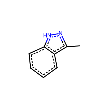 Cc1n[nH]c2c[c]ccc12